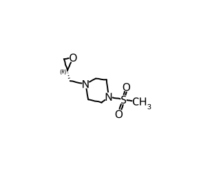 CS(=O)(=O)N1CCN(C[C@@H]2CO2)CC1